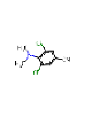 CN(C)c1c(Cl)cc(C#N)cc1Cl